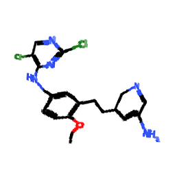 COc1ccc(Nc2nc(Cl)ncc2Cl)cc1CCC1C=C(N)C=NC1